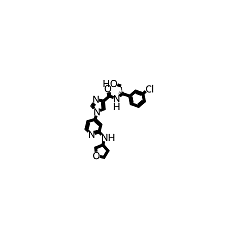 O=C(N[C@H](CO)c1cccc(Cl)c1)c1cn(-c2ccnc(NC3CCOC3)c2)cn1